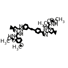 COC(=O)N[C@H](C(=O)N1CC2(CC2)C[C@H]1c1ncc(-c2ccc(C#Cc3ccc4nc([C@@H]5CC6(CC6)CN5C(=O)[C@H](NC(=O)OC)c5ccc(OC)cc5)[nH]c4c3)cc2)[nH]1)C(C)C